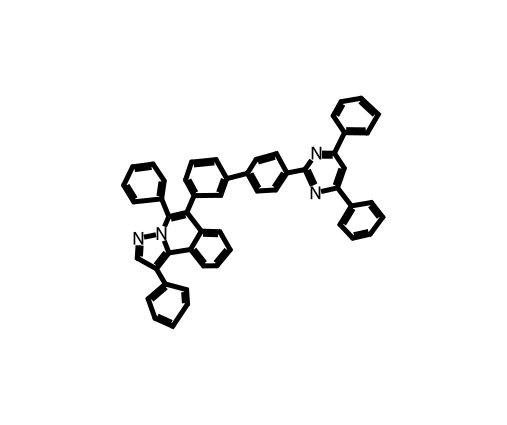 c1ccc(-c2cc(-c3ccccc3)nc(-c3ccc(-c4cccc(-c5c(-c6ccccc6)n6ncc(-c7ccccc7)c6c6ccccc56)c4)cc3)n2)cc1